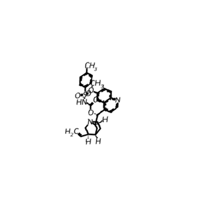 C=C[C@H]1CN2CC[C@H]1C[C@H]2[C@H](OC(=O)NS(=O)(=O)c1ccc(C)cc1)c1ccnc2ccc(OC)cc12